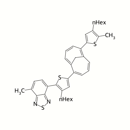 CCCCCCc1cc(C2=C3C=CC=C(c4cc(CCCCCC)c(-c5ccc(C)c6nsnc56)s4)C(=CC=C2)C3)sc1C